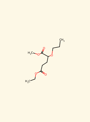 CCCOC(CCC(=O)OCC)C(=O)OC